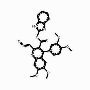 COc1ccc(-c2c(C(=O)Oc3nc4ccccc4[nH]3)c(C=S=O)nc3cc(OC)c(OC)cc23)cc1OC